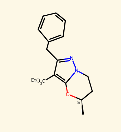 CCOC(=O)c1c(Cc2ccccc2)nn2c1O[C@H](C)CC2